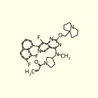 C=CC(=O)N1CCC(N(C)c2nc(OCC34CCCN3CCC4)nc3c(F)c(-c4cccc5ccc(F)c(F)c45)ncc23)C1